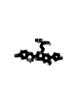 CN(C)CCOc1cc(-c2cn[nH]c2)c(F)cc1NC(=O)[C@H](N)Cc1ccc(Cl)cc1